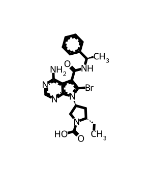 CC[C@H]1C[C@@H](n2c(Br)c(C(=O)N[C@H](C)c3ccccc3)c3c(N)ncnc32)CN1C(=O)O